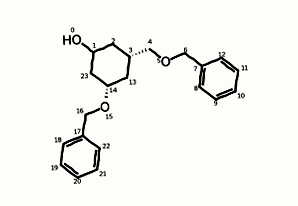 OC1C[C@H](COCc2ccccc2)C[C@H](OCc2ccccc2)C1